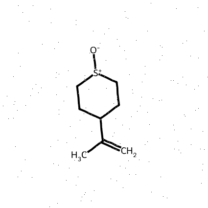 C=C(C)C1CC[S+]([O-])CC1